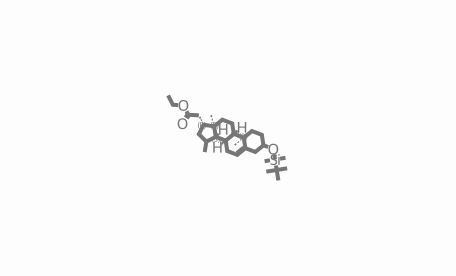 CCOC(=O)C[C@H]1CC(C)[C@H]2[C@@H]3CC=C4CC(O[Si](C)(C)C(C)(C)C)CC[C@]4(C)[C@H]3CC[C@]12C